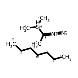 CC(=[N+]=[N-])[SiH](C)C.CCCCCCC